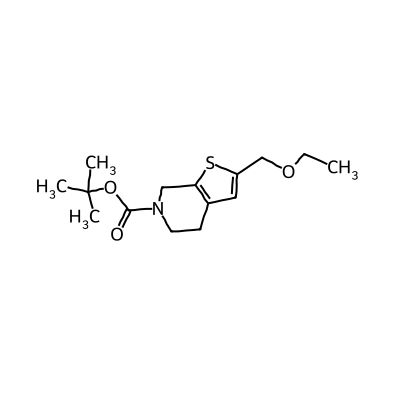 CCOCc1cc2c(s1)CN(C(=O)OC(C)(C)C)CC2